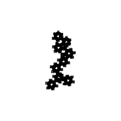 c1ccc(-c2cccc3c2c2ccccc2n3-c2cccc3c2oc2cc(-c4cccc(-[n+]5c[n+](-c6ccccc6)c[n+](-c6ccccc6)c5)c4)ccc23)cc1